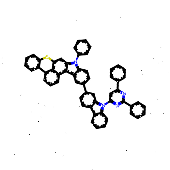 c1ccc(-c2cc(-n3c4ccccc4c4ccc(-c5ccc6c(c5)c5c7cccc8c7c(cc5n6-c5ccccc5)Sc5ccccc5-8)cc43)nc(-c3ccccc3)n2)cc1